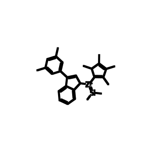 CC1=C(C)C(C)[C]([Zr]([CH]2C=C(c3cc(C)cc(C)c3)c3ccccc32)=[Si](C)C)=C1C